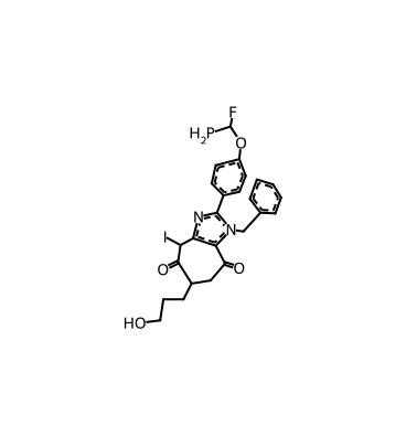 O=C1CC(CCCO)C(=O)C(I)c2nc(-c3ccc(OC(F)P)cc3)n(Cc3ccccc3)c21